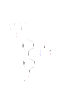 CCC(CC)Oc1ccc(NC(=O)C(=O)OC)c(-c2ccc(OC(F)(F)F)cc2)c1